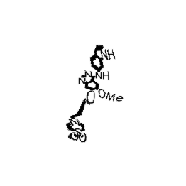 COc1cc2c(Nc3ccc4cc[nH]c4c3)ncnc2cc1OCCCN1CCS(=O)(=O)CC1